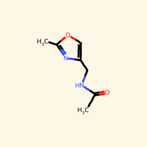 CC(=O)NCc1coc(C)n1